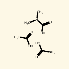 CC(=O)O.CN(C)C(=O)O.NC(=O)O